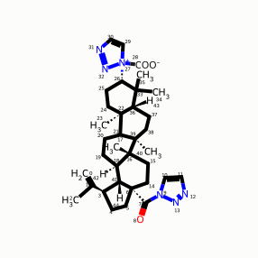 C=C(C)[C@@H]1CC[C@]2(C(=O)n3ccnn3)CC[C@]3(C)[C@H](CCC4[C@@]5(C)CC[C@H]([N+]6(C(=O)[O-])C=CN=N6)C(C)(C)[C@@H]5CC[C@]43C)[C@@H]12